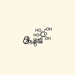 O=P(O)(NCNC1C(O)O[C@H](CO)[C@H](O)[C@@H]1O)NCC12CC3CC(CC(C3)C1)C2